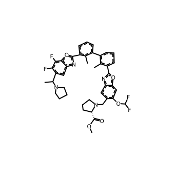 COC(=O)[C@@H]1CCCN1Cc1cc2nc(-c3cccc(-c4cccc(-c5nc6cc(C(C)N7CCCC7)c(F)c(F)c6o5)c4C)c3C)oc2cc1OC(F)F